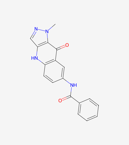 Cn1ncc2[nH]c3ccc(NC(=O)c4ccccc4)cc3c(=O)c21